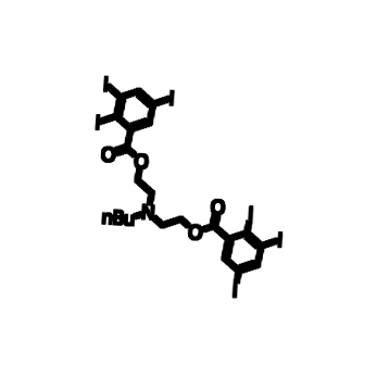 CCCCN(CCOC(=O)c1cc(I)cc(I)c1I)CCOC(=O)c1cc(I)cc(I)c1I